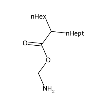 CCCCCCCC(CCCCCC)C(=O)OCN